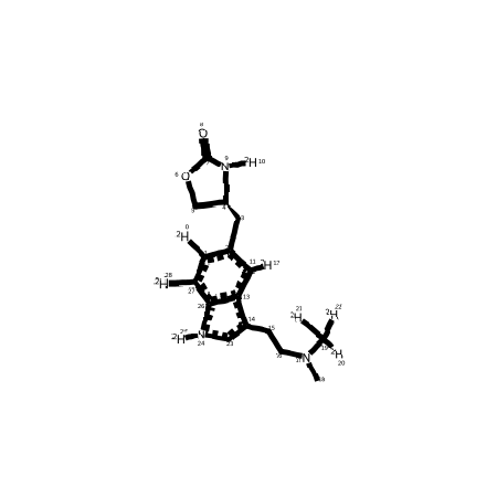 [2H]c1c(C[C@H]2COC(=O)N2[2H])c([2H])c2c(CCN(C)C([2H])([2H])[2H])cn([2H])c2c1[2H]